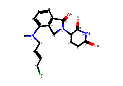 CN(C/C=C/CBr)c1cccc2c1CN(C1CCC(=O)NC1=O)C2=O